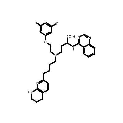 O=C(O)C(CCN(CCCCc1ccc2c(n1)NCCC2)CCOc1cc(F)cc(F)c1)Nc1ncnc2ccccc12